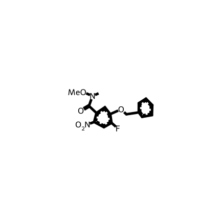 CON(C)C(=O)c1cc(OCc2ccccc2)c(F)cc1[N+](=O)[O-]